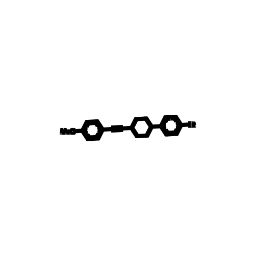 CCc1ccc(C2CCC(C#Cc3ccc(OC)cc3)CC2)cc1